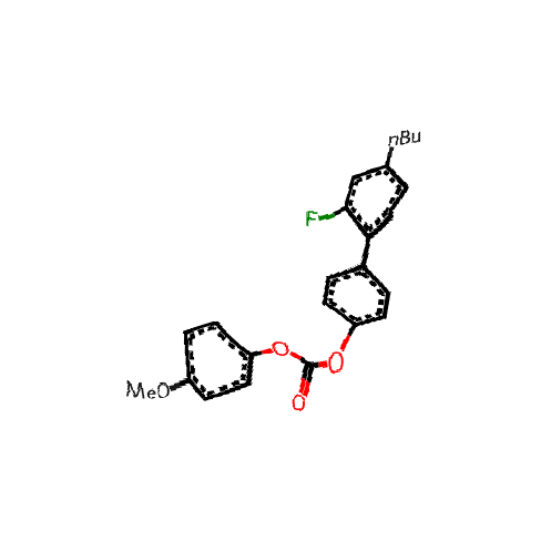 CCCCc1ccc(-c2ccc(OC(=O)Oc3ccc(OC)cc3)cc2)c(F)c1